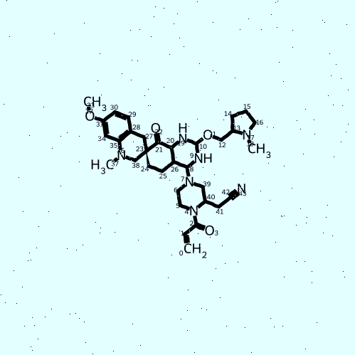 C=CC(=O)N1CCN(C2NC(OCC3CCCN3C)NC3C(=O)[C@@]4(CCC32)Cc2ccc(OC)cc2N(C)C4)CC1CC#N